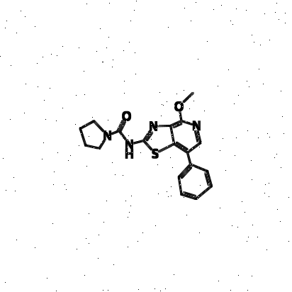 COc1ncc(-c2ccccc2)c2sc(NC(=O)N3CCCC3)nc12